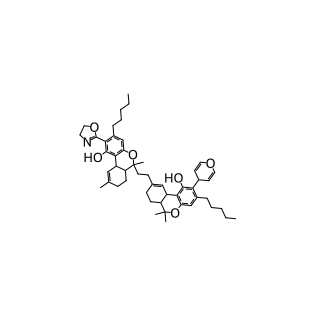 CCCCCc1cc2c(c(O)c1C1=NCCO1)C1C=C(C)CCC1C(C)(CCC1=CC3c4c(cc(CCCCC)c(C5C=COC=C5)c4O)OC(C)(C)C3CC1)O2